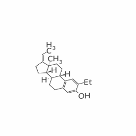 C/C=C1/CC[C@H]2[C@@H]3CCc4cc(O)c(CC)cc4[C@H]3CC[C@]12C